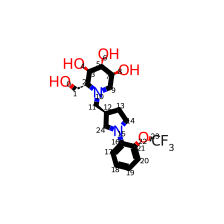 OC[C@@H]1[C@@H](O)[C@H](O)[C@@H](O)CN1C[C@H]1CCN(c2ccccc2OC(F)(F)F)C1